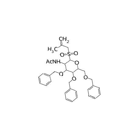 C=C(C)CS(=O)(=O)C1OC(COCc2ccccc2)C(OCc2ccccc2)C(OCc2ccccc2)C1NC(C)=O